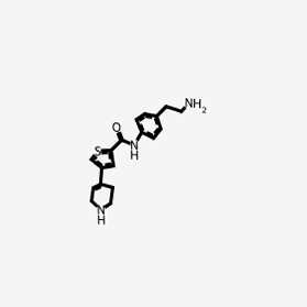 NCCc1ccc(NC(=O)c2cc(C3=CCNCC3)cs2)cc1